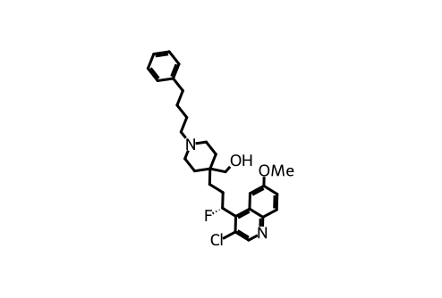 COc1ccc2ncc(Cl)c([C@H](F)CCC3(CO)CCN(CCCCc4ccccc4)CC3)c2c1